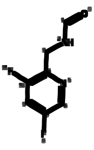 O=CNCc1ncc(F)cc1F